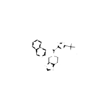 C[C@H]1CN(C(=O)c2nnc(C(C)(C)F)o2)[C@H](c2cc3ccccc3cn2)c2nc[nH]c21